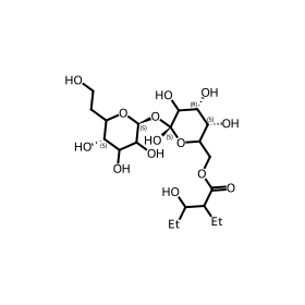 CCC(O)C(CC)C(=O)OCC1O[C@](O)(O[C@@H]2OC(CCO)[C@@H](O)C(O)C2O)C(O)[C@H](O)[C@@H]1O